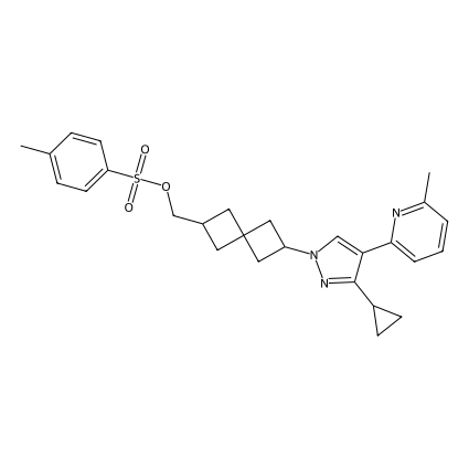 Cc1ccc(S(=O)(=O)OCC2CC3(C2)CC(n2cc(-c4cccc(C)n4)c(C4CC4)n2)C3)cc1